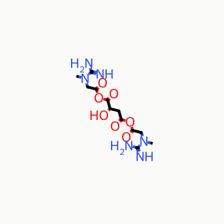 CN(CC(=O)OC(=O)CC(O)C(=O)OC(=O)CN(C)C(=N)N)C(=N)N